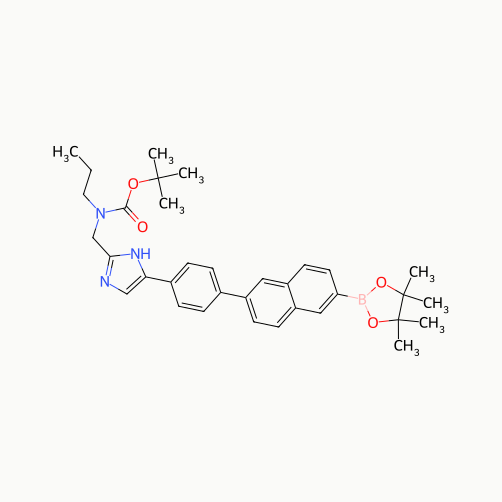 CCCN(Cc1ncc(-c2ccc(-c3ccc4cc(B5OC(C)(C)C(C)(C)O5)ccc4c3)cc2)[nH]1)C(=O)OC(C)(C)C